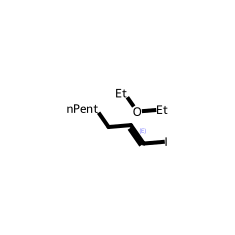 CCCCCC/C=C/I.CCOCC